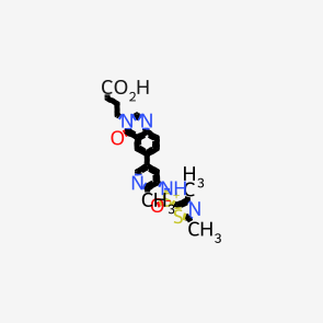 Cc1nc(C)c([S+]([O-])Nc2cc(-c3ccc4ncn(CCCC(=O)O)c(=O)c4c3)cnc2C)s1